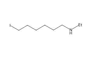 CCNCCCCCCI